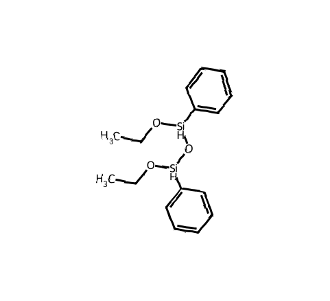 CCO[SiH](O[SiH](OCC)c1ccccc1)c1ccccc1